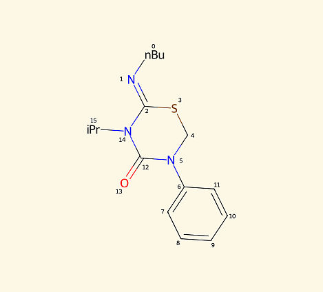 CCCCN=C1SCN(c2ccccc2)C(=O)N1C(C)C